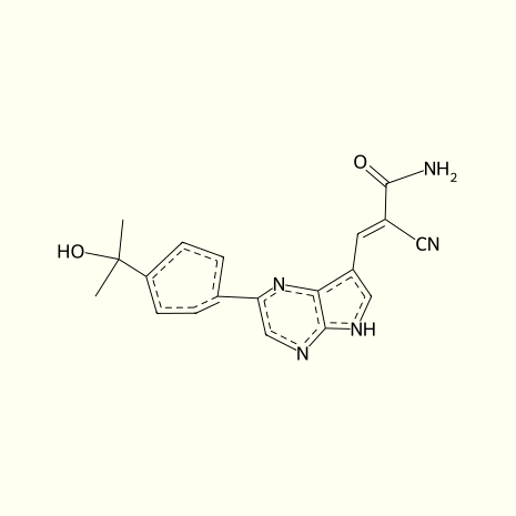 CC(C)(O)c1ccc(-c2cnc3[nH]cc(/C=C(\C#N)C(N)=O)c3n2)cc1